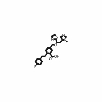 Cn1cncc1CC(OCc1ccc(CCc2ccc(F)cc2)c(C(=O)O)c1)c1nccs1